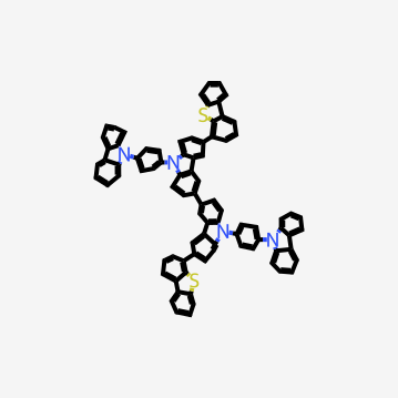 c1ccc2c(c1)sc1c(-c3ccc4c(c3)c3cc(-c5ccc6c(c5)c5cc(-c7cccc8c7sc7ccccc78)ccc5n6-c5ccc(-n6c7ccccc7c7ccccc76)cc5)ccc3n4-c3ccc(-n4c5ccccc5c5ccccc54)cc3)cccc12